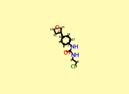 O=C(NCCCl)Nc1ccc(C2CCOC2)cc1